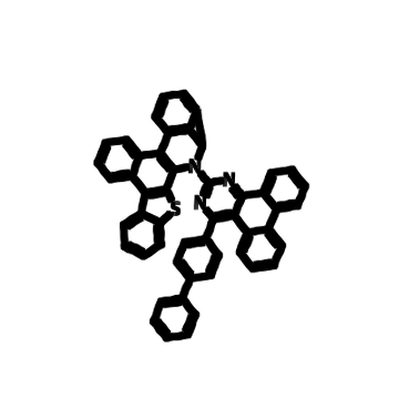 c1ccc(-c2ccc(-c3nc(N4c5c(c6ccccc6c6c5sc5ccccc56)-c5cccc6c5C64)nc4c5ccccc5c5ccccc5c34)cc2)cc1